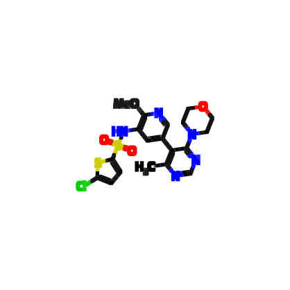 COc1ncc(-c2c(C)ncnc2N2CCOCC2)cc1NS(=O)(=O)c1ccc(Cl)s1